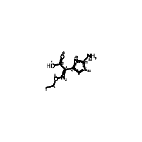 CCON=C(C(=O)O)c1csc(N)n1